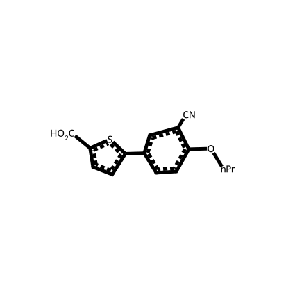 CCCOc1ccc(-c2ccc(C(=O)O)s2)cc1C#N